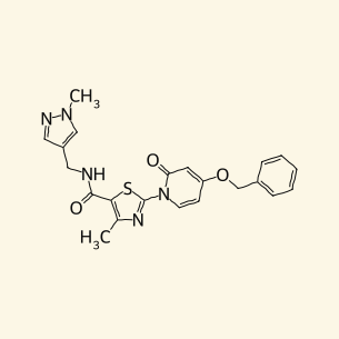 Cc1nc(-n2ccc(OCc3ccccc3)cc2=O)sc1C(=O)NCc1cnn(C)c1